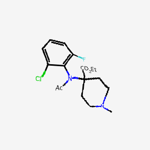 CCOC(=O)C1(N(C(C)=O)c2c(F)cccc2Cl)CCN(C)CC1